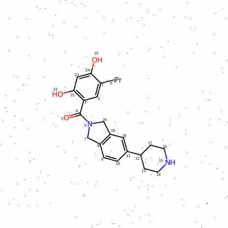 CC(C)c1cc(C(=O)N2Cc3ccc(C4CCNCC4)cc3C2)c(O)cc1O